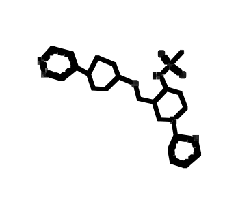 CS(=O)(=O)NC1CCN(c2ccccn2)CC1COC1CCC(c2ccnnc2)CC1